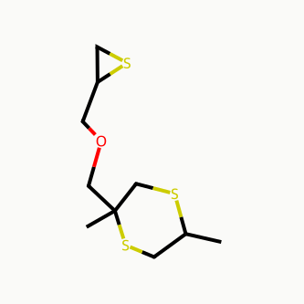 CC1CSC(C)(COCC2CS2)CS1